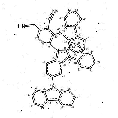 N#Cc1c(C=N)ccc(-n2c3ccc(-n4c5ccccc5c5ccccc54)cc3c3c4ccccc4ccc32)c1-n1c2ccccc2c2ccccc21